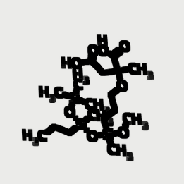 CCC[Si](C)(O[Si](C)(C)C)O[Si](C)(CCCOC(C)(CC(=O)O)C(=O)O)OC